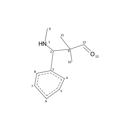 CNC(c1ccccc1)C(C)(C)C=O